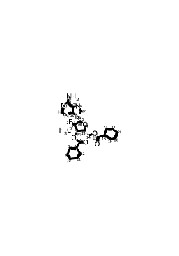 C[C@@]1(F)[C@H](OC(=O)c2ccccc2)[C@@H](COC(=O)c2ccccc2)O[C@H]1n1cnc2c(N)ncnc21